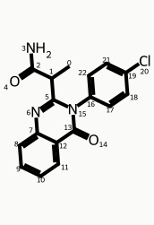 CC(C(N)=O)c1nc2ccccc2c(=O)n1-c1ccc(Cl)cc1